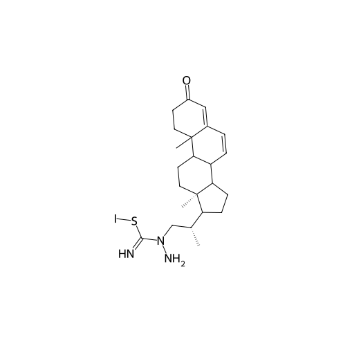 C[C@H](CN(N)C(=N)SI)C1CCC2C3C=CC4=CC(=O)CCC4(C)C3CC[C@@]21C